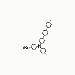 CCC(C)c1ccc(N(c2ccc(C)cc2)c2ccc(-c3ccc(-c4ccc(C)cc4)cc3)cc2)cc1